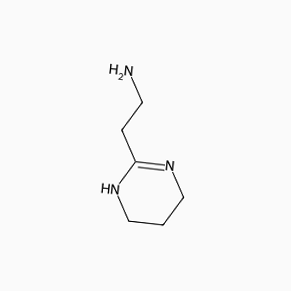 NCCC1=NCCCN1